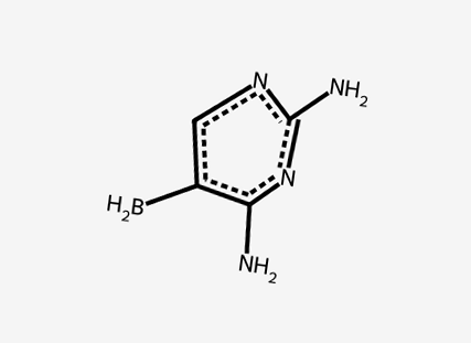 Bc1cnc(N)nc1N